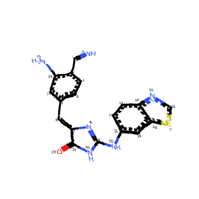 N=Cc1ccc(/C=C2\N=C(Nc3ccc4ncsc4c3)NC2=O)cc1N